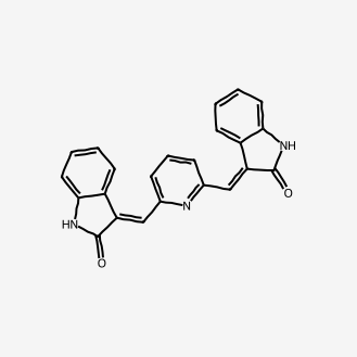 O=C1Nc2ccccc2/C1=C\c1cccc(/C=C2/C(=O)Nc3ccccc32)n1